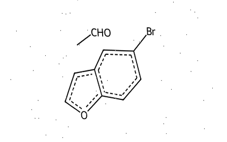 Brc1ccc2occc2c1.CC=O